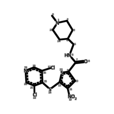 CN1CCC(CNC(=O)c2cc([N+](=O)[O-])c(Sc3c(Cl)cncc3Cl)s2)CC1